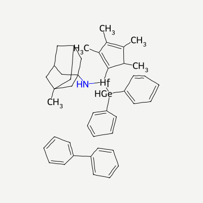 CC1=C(C)C(C)[C]([Hf]([NH]C23CC4CC(CC(C)(C4)C2)C3)[GeH]([c]2ccccc2)[c]2ccccc2)=C1C.c1ccc(-c2ccccc2)cc1